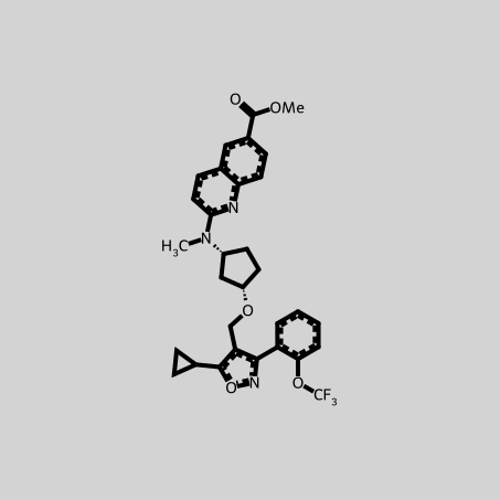 COC(=O)c1ccc2nc(N(C)[C@@H]3CC[C@H](OCc4c(-c5ccccc5OC(F)(F)F)noc4C4CC4)C3)ccc2c1